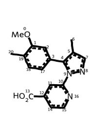 COc1cc(-c2c(C)cnn2-c2cc(C(=O)O)ccn2)ccc1C